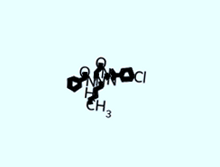 CCCCCn1c(NC(=O)c2ccccc2)cc(=O)n2cc(-c3ccc(Cl)cc3)nc12